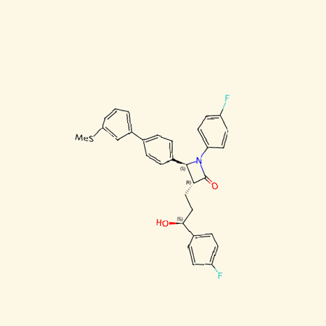 CSc1cccc(-c2ccc([C@@H]3[C@@H](CC[C@H](O)c4ccc(F)cc4)C(=O)N3c3ccc(F)cc3)cc2)c1